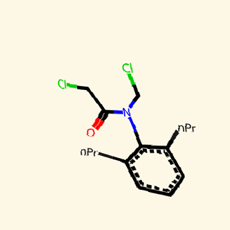 CCCc1cccc(CCC)c1N(CCl)C(=O)CCl